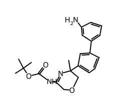 CC(C)(C)OC(=O)NC1=NC(C)(c2cccc(-c3cccc(N)c3)c2)COC1